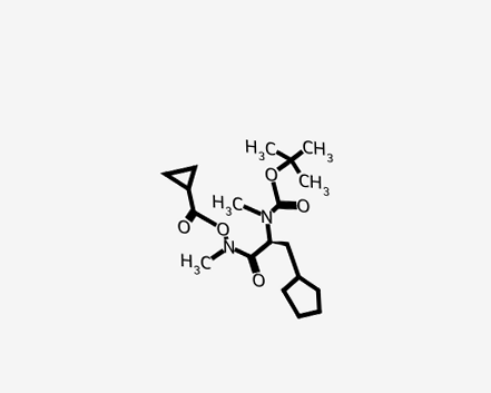 CN(OC(=O)C1CC1)C(=O)[C@H](CC1CCCC1)N(C)C(=O)OC(C)(C)C